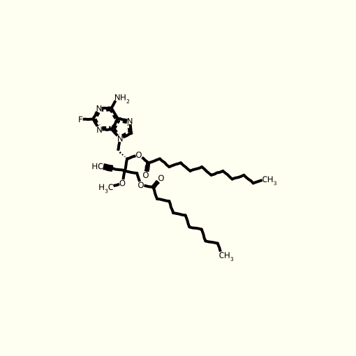 C#CC(COC(=O)CCCCCCCCC)(OC)[C@H](Cn1cnc2c(N)nc(F)nc21)OC(=O)CCCCCCCCCCC